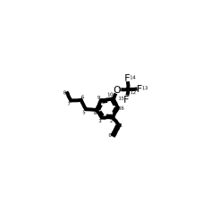 C=Cc1cc(CCCC)cc(OC(F)(F)F)c1